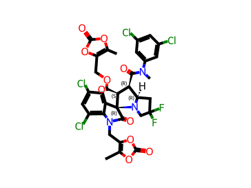 Cc1oc(=O)oc1COC(=O)[C@H]1[C@@H](C(=O)N(C)c2cc(Cl)cc(Cl)c2)[C@H]2CC(F)(F)CN2[C@]12C(=O)N(Cc1oc(=O)oc1C)c1c(Cl)cc(Cl)cc12